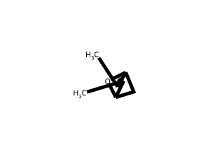 CC1=C(C)C2CC1O2